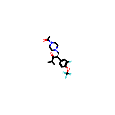 CC(=O)N1CCN(C[C@H](C(=O)C(C)C)c2ccc(OC(F)(F)F)c(F)c2)CC1